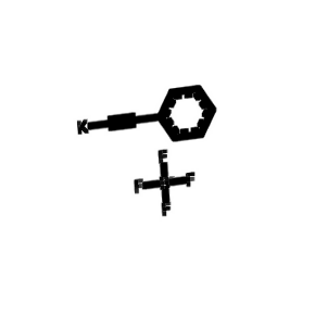 F[B-](F)(F)F.[K][C]#Cc1ccccc1